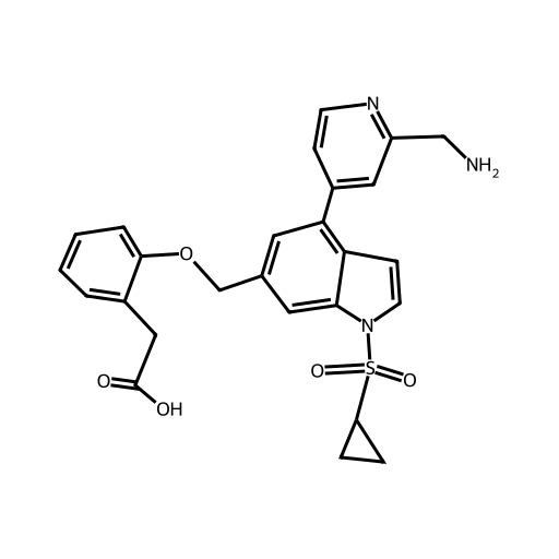 NCc1cc(-c2cc(COc3ccccc3CC(=O)O)cc3c2ccn3S(=O)(=O)C2CC2)ccn1